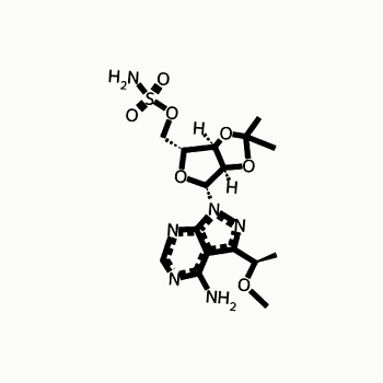 CO[C@H](C)c1nn([C@@H]2O[C@H](COS(N)(=O)=O)[C@H]3OC(C)(C)O[C@H]32)c2ncnc(N)c12